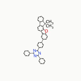 CC1(C)c2ccccc2-c2ccc3c(oc4ccc(-c5ccc(-c6nc(-c7ccccc7)nc(-c7ccccc7)n6)cc5)cc43)c21